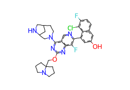 Oc1cc(-c2ncc3c(N4CCC5CNC(C5)C4)nc(OCC45CCCN4CCC5)nc3c2F)c2c(Cl)c(F)ccc2c1